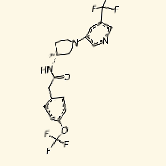 O=C(Cc1ccc(OC(F)(F)F)cc1)N[C@@H]1CCN(c2cncc(C(F)(F)F)c2)C1